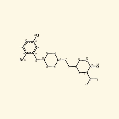 CC(C)N1CC(CCN2CCC(Cc3cc(Cl)ccc3Br)CC2)COC1=O